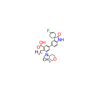 CCN(c1cc(-c2ccc3c(c2)C2(CC=C(F)CC2)C(=O)N3)cc(C(=O)O)c1C)C1CCOCC1